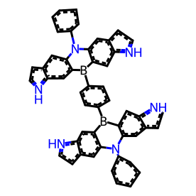 c1ccc(N2c3cc4cc[nH]c4cc3B(c3ccc(B4c5cc6[nH]ccc6cc5N(c5ccccc5)c5cc6cc[nH]c6cc54)cc3)c3cc4[nH]ccc4cc32)cc1